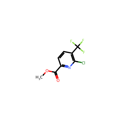 COC(=O)c1ccc(C(F)(F)F)c(Cl)n1